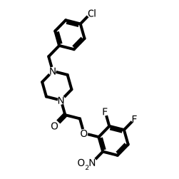 O=C(COc1c([N+](=O)[O-])ccc(F)c1F)N1CCN(Cc2ccc(Cl)cc2)CC1